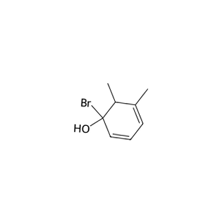 CC1=CC=CC(O)(Br)C1C